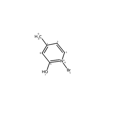 Cc1cc[n+](Br)c(O)c1